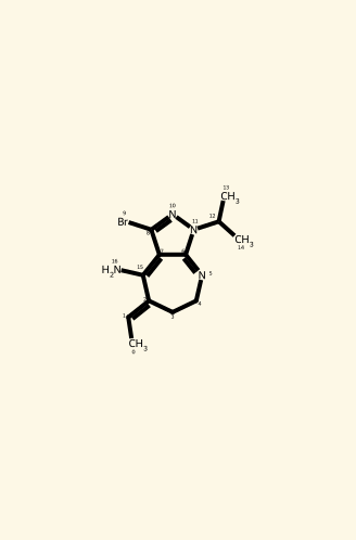 C/C=C1\CCN=c2c(c(Br)nn2C(C)C)=C1N